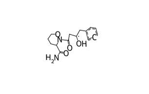 NC(=O)C1CCCON1C(=O)C[C](O)Cc1ccccc1